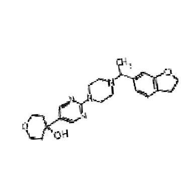 CC(c1ccc2c(c1)OCC2)N1CCN(c2ncc(C3(O)CCOCC3)cn2)CC1